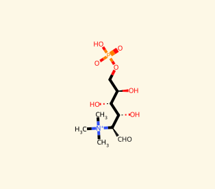 C[N+](C)(C)[C@H](C=O)[C@@H](O)[C@H](O)[C@H](O)COP(=O)([O-])O